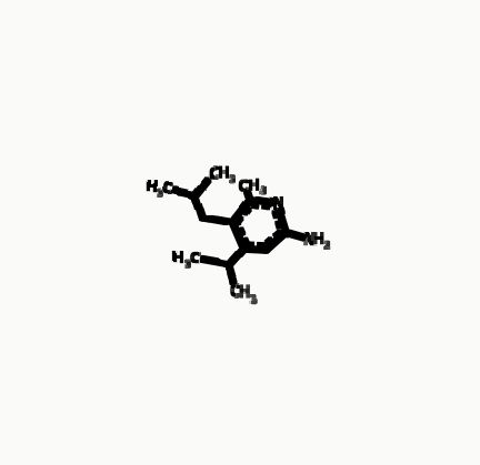 Cc1nc(N)cc(C(C)C)c1CC(C)C